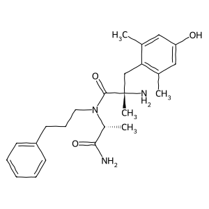 Cc1cc(O)cc(C)c1C[C@](C)(N)C(=O)N(CCCc1ccccc1)[C@H](C)C(N)=O